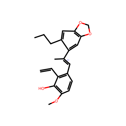 C=Cc1c(/C=C(\C)c2cc3c(cc2CCC)OCO3)ccc(OC)c1O